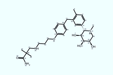 Cc1ccc([C@H]2[C@H](O)[C@H](O)[C@H](O)C[SH]2C)cc1Cc1ccc(OCCCNCC(C)(C)C(N)=O)cc1